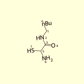 CCCCCNC(=O)C(N)S